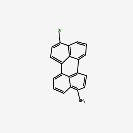 Bc1ccc2c3cccc4c(Br)ccc(c5cccc1c25)c43